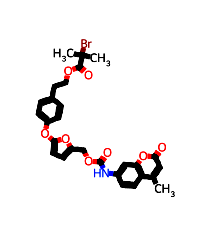 Cc1cc(=O)oc2cc(NC(=O)OCc3ccc(Oc4ccc(CCOC(=O)C(C)(C)Br)cc4)o3)ccc12